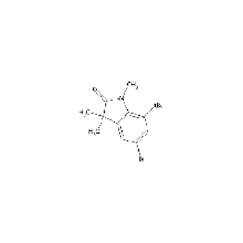 CN1C(=O)C(C)(C)c2cc(Br)cc(C(C)(C)C)c21